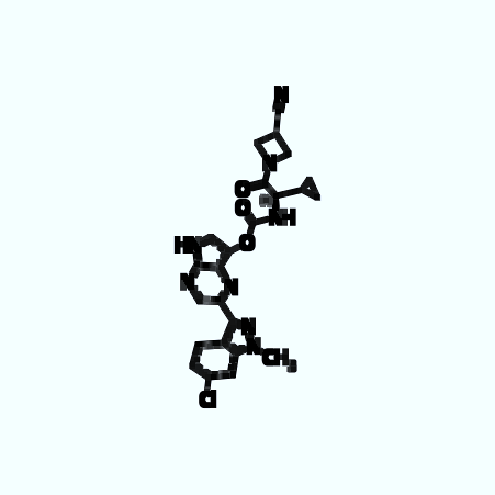 Cn1nc(-c2cnc3[nH]cc(OC(=O)N[C@@H](C(=O)N4CC(C#N)C4)C4CC4)c3n2)c2ccc(Cl)cc21